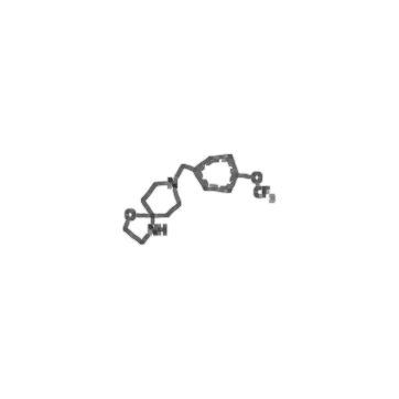 FC(F)(F)Oc1ccc(CN2CCC3(CC2)NCCO3)cc1